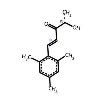 Cc1cc(C)c(/C=C/C(=O)[C@H](C)O)c(C)c1